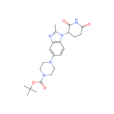 Cc1nc2cc(N3CCN(C(=O)OC(C)(C)C)CC3)ccc2n1C1CCC(=O)NC1=O